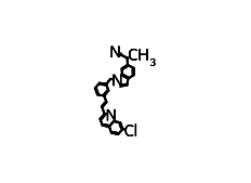 CC(C#N)c1ccc2ccn(Cc3cccc(C=Cc4ccc5ccc(Cl)cc5n4)c3)c2c1